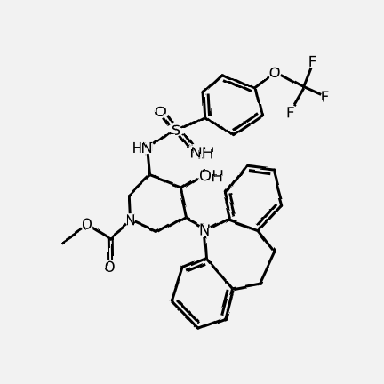 COC(=O)N1CC(NS(=N)(=O)c2ccc(OC(F)(F)F)cc2)C(O)C(N2c3ccccc3CCc3ccccc32)C1